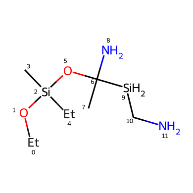 CCO[Si](C)(CC)OC(C)(N)[SiH2]CN